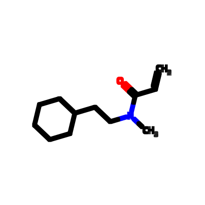 C=CC(=O)N(C)CCC1CCCCC1